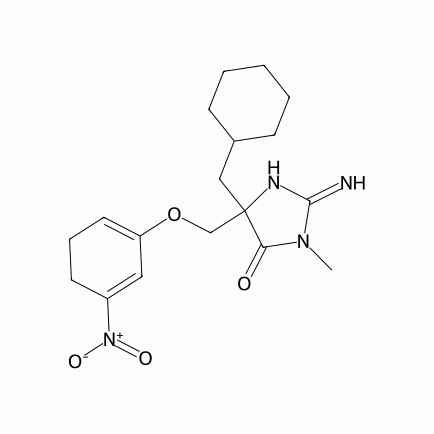 CN1C(=N)NC(COC2=CCCC([N+](=O)[O-])=C2)(CC2CCCCC2)C1=O